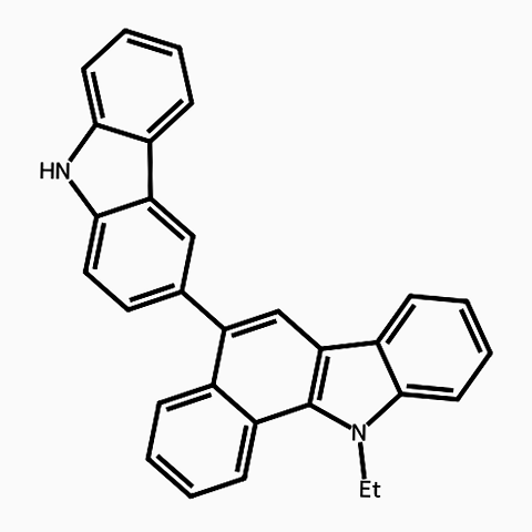 CCn1c2ccccc2c2cc(-c3ccc4[nH]c5ccccc5c4c3)c3ccccc3c21